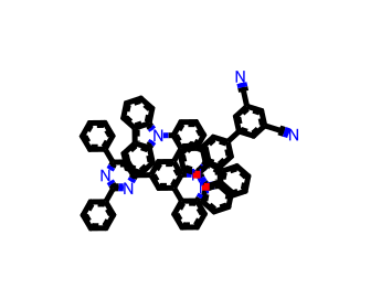 N#Cc1cc(C#N)cc(-c2ccc3c(c2)c2ccccc2n3-c2c(-c3ccccc3-n3c4ccccc4c4ccccc43)cc(-c3cc(-c4ccccc4)nc(-c4ccccc4)n3)cc2-c2ccccc2-n2c3ccccc3c3ccccc32)c1